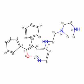 c1ccc(-c2oc3nccc(NCCN4CCNCC4)c3c2-c2ccccc2)cc1